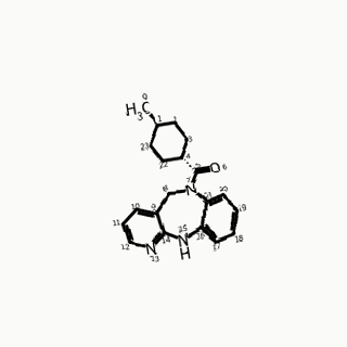 C[C@H]1CC[C@H](C(=O)N2Cc3cccnc3Nc3ccccc32)CC1